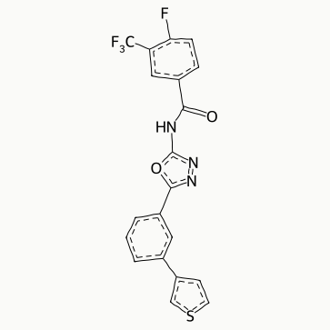 O=C(Nc1nnc(-c2cccc(-c3ccsc3)c2)o1)c1ccc(F)c(C(F)(F)F)c1